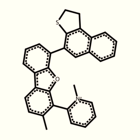 Cc1ccc2c(oc3c(-c4cc5ccccc5c5c4SCC5)cccc32)c1-c1cccc[n+]1C